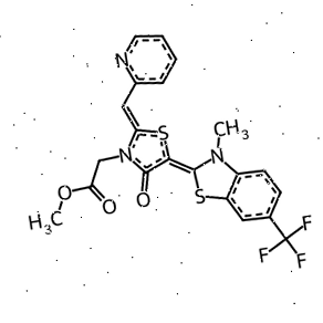 COC(=O)Cn1c(=O)/c(=C2\Sc3cc(C(F)(F)F)ccc3N2C)s/c1=C\c1ccccn1